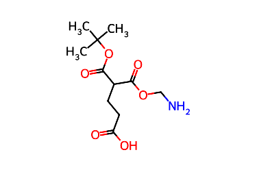 CC(C)(C)OC(=O)C(CCC(=O)O)C(=O)OCN